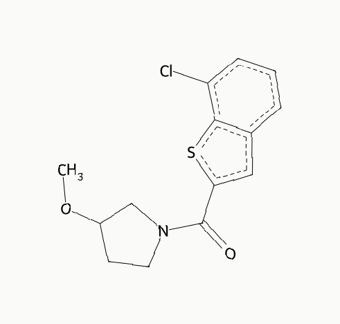 COC1CCN(C(=O)c2cc3cccc(Cl)c3s2)C1